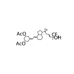 CC(=O)OC1C/C(=C/C=C2\CCC[C@@]3(C)C2CCC3C2(C/C=C/C(C)(O)C(F)(F)F)CC2)C[C@@H](OC(C)=O)C1